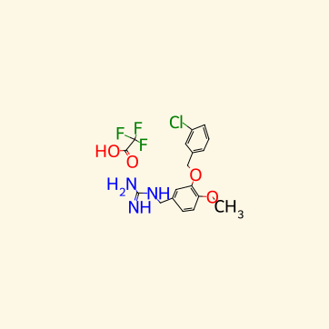 COc1ccc(CNC(=N)N)cc1OCc1cccc(Cl)c1.O=C(O)C(F)(F)F